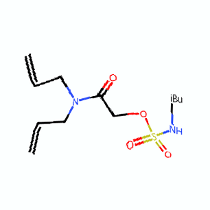 C=CCN(CC=C)C(=O)COS(=O)(=O)NC(C)CC